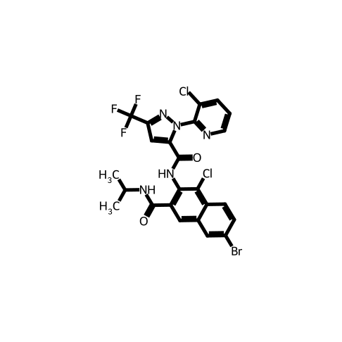 CC(C)NC(=O)c1cc2cc(Br)ccc2c(Cl)c1NC(=O)c1cc(C(F)(F)F)nn1-c1ncccc1Cl